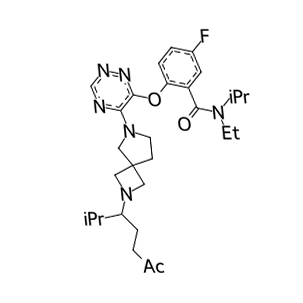 CCN(C(=O)c1cc(F)ccc1Oc1nncnc1N1CCC2(C1)CN(C(CCC(C)=O)C(C)C)C2)C(C)C